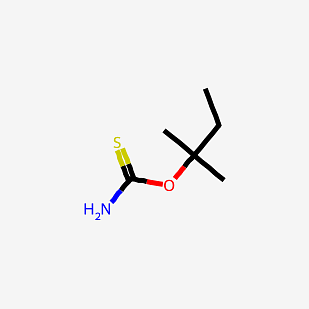 CCC(C)(C)OC(N)=S